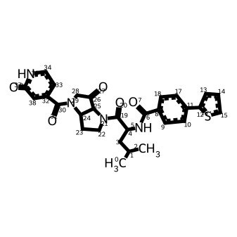 CC(C)CC(NC(=O)c1ccc(-c2cccs2)cc1)C(=O)N1CCC2C1C(=O)CN2C(=O)c1cc[nH]c(=O)c1